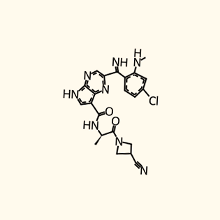 CNc1cc(Cl)ccc1C(=N)c1cnc2[nH]cc(C(=O)N[C@H](C)C(=O)N3CC(C#N)C3)c2n1